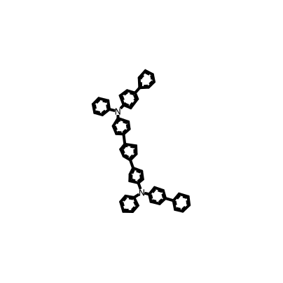 c1ccc(-c2ccc(N(c3ccccc3)c3ccc(-c4ccc(-c5ccc(N(c6ccccc6)c6ccc(-c7ccccc7)cc6)cc5)cc4)cc3)cc2)cc1